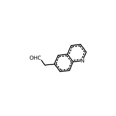 O=CCc1ccc2ncccc2c1